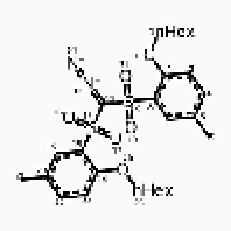 CCCCCCOc1ccc(C)cc1S(=O)(=O)C(=[N+]=[N-])S(=O)(=O)c1cc(C)ccc1OCCCCCC